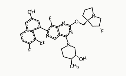 CCc1c(F)ccc2cc(O)cc(-c3ncc4c(N5CC[C@H](C)[C@@H](O)C5)nc(OC[C@@]56CCCN5C[C@H](F)C6)nc4c3F)c12